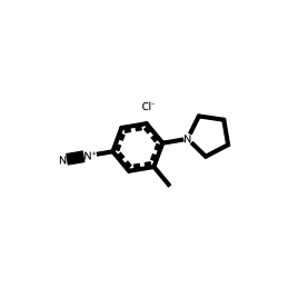 Cc1cc([N+]#N)ccc1N1CCCC1.[Cl-]